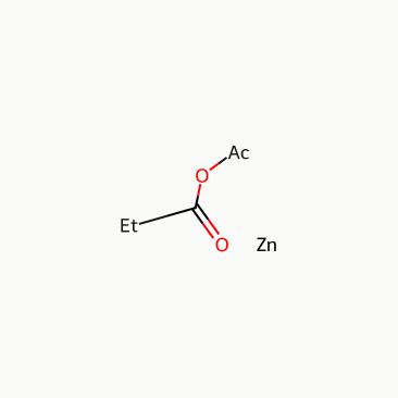 CCC(=O)OC(C)=O.[Zn]